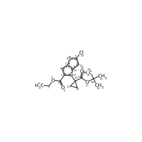 CCOC(=O)c1cc2sc(Cl)cc2n1C1(C(=O)OC(C)(C)C)CC1